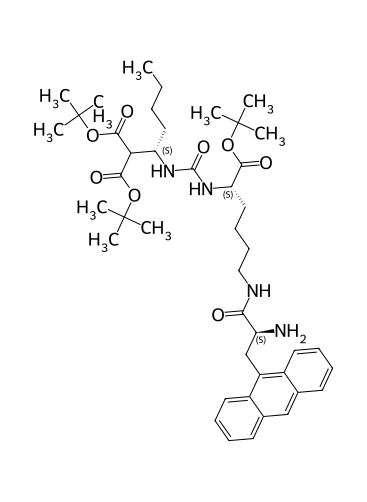 CCCC[C@H](NC(=O)N[C@@H](CCCCNC(=O)[C@@H](N)Cc1c2ccccc2cc2ccccc12)C(=O)OC(C)(C)C)C(C(=O)OC(C)(C)C)C(=O)OC(C)(C)C